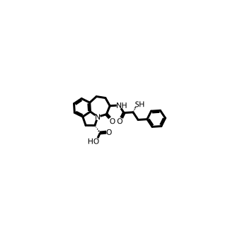 O=C(NC1CCc2cccc3c2N(C1=O)[C@H](C(=O)O)C3)[C@H](S)Cc1ccccc1